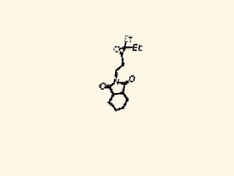 CCC1(CC)OC1CCN1C(=O)C2CCCCC2C1=O